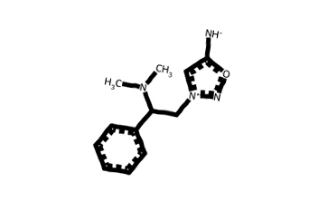 CN(C)C(C[n+]1cc([NH-])on1)c1ccccc1